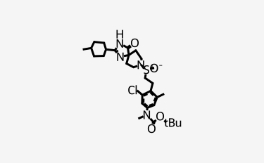 Cc1cc(N(C)C(=O)OC(C)(C)C)cc(Cl)c1CC[S+]([O-])N1CCC2(CC1)N=C(C1CCC(C)CC1)NC2=O